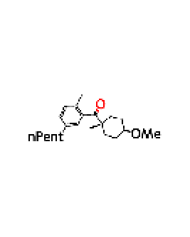 CCCCCc1ccc(C)c(C(=O)[C@]2(C)CC[C@@H](OC)CC2)c1